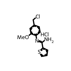 COc1cc(CCl)ccc1N=C(N)c1cccs1.Cl